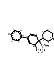 COC1(C2CNCCO2)C=CC(c2ccccc2)=CC1C(=O)O